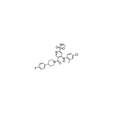 Cc1cc(Cl)ccc1Nc1cc(S(N)(=O)=O)ncc1C(=O)N1CCC(c2ccc(F)cc2)CC1